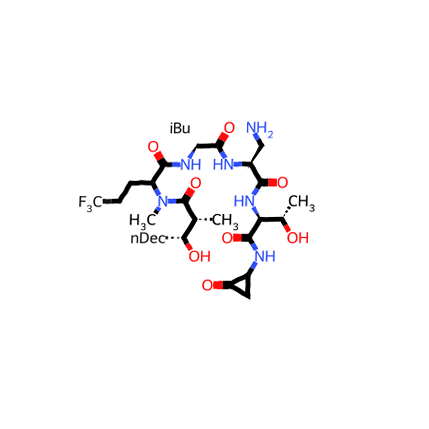 CCCCCCCCCC[C@@H](O)[C@@H](C)C(=O)N(C)C(CCC(F)(F)F)C(=O)N[C@H](C(=O)N[C@@H](CN)C(=O)N[C@H](C(=O)NC1CC1=O)[C@H](C)O)[C@H](C)CC